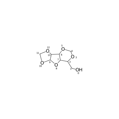 OCC1OCOC2C1OC1OCOC12